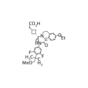 CCOc1ccc2c(c1)CCN(C(=O)[C@H]1C[C@H](CC(=O)O)C1)[C@H]2C(=O)Nc1cc(F)c(C(C)(C)COC)c(F)c1